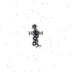 CC(C)Cc1ccccc1Oc1ccc(/C=C(/NC(=O)CCC2CCCC2)C(=O)O)cc1